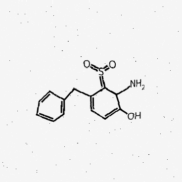 NC1C(O)=CC=C(Cc2ccccc2)C1=S(=O)=O